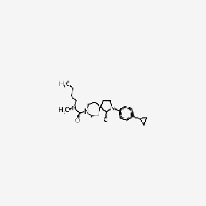 CCCCN(C)C(=O)N1CCC2(CC1)CCN(c1ccc(C3CC3)cc1)C2=O